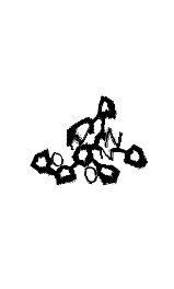 c1ccc(-c2nc(-c3ccccc3-c3cccnc3)cc(-c3ccc(-c4cccc5c4oc4ccccc45)c4oc5ccccc5c34)n2)cc1